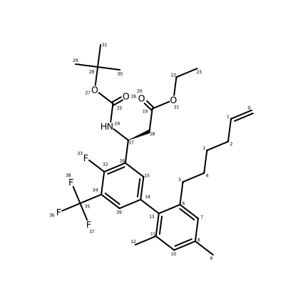 C=CCCCCc1cc(C)cc(C)c1-c1cc([C@H](CC(=O)OCC)NC(=O)OC(C)(C)C)c(F)c(C(F)(F)F)c1